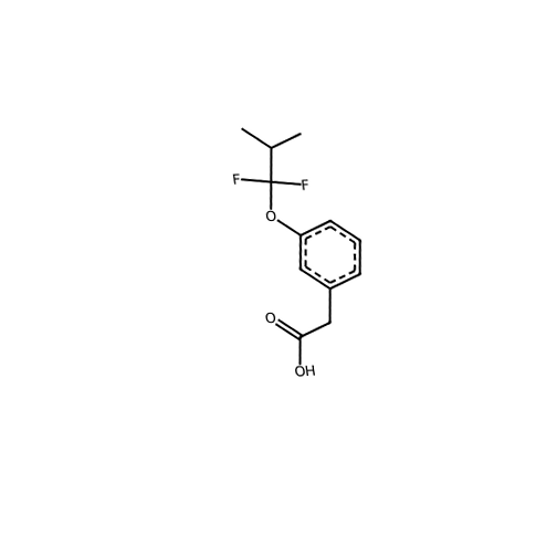 CC(C)C(F)(F)Oc1cccc(CC(=O)O)c1